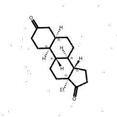 CC[C@]12CC[C@H]3[C@@H](CC[C@@H]4CC(=O)CC[C@@H]43)[C@@H]1CCC2=O